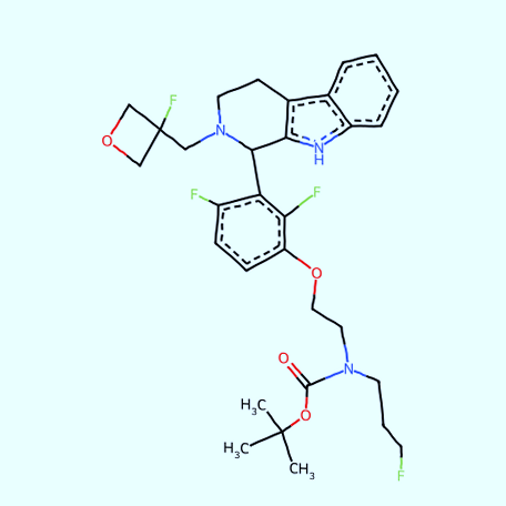 CC(C)(C)OC(=O)N(CCCF)CCOc1ccc(F)c(C2c3[nH]c4ccccc4c3CCN2CC2(F)COC2)c1F